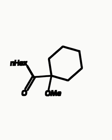 CCCCCCC(=O)C1(OC)CCCCC1